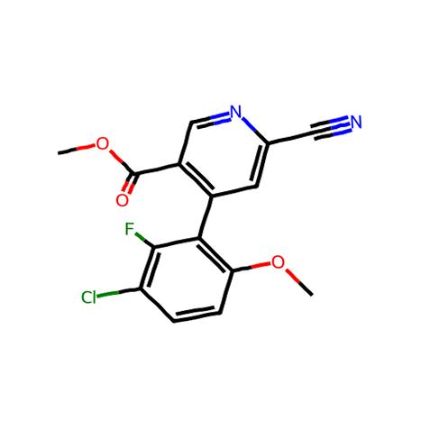 COC(=O)c1cnc(C#N)cc1-c1c(OC)ccc(Cl)c1F